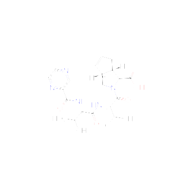 CC(C)[C@H](NC(=O)c1cnccn1)C(=O)N[C@H](C(=O)N1C[C@@H]2C=CC[C@@H]2C1C(=O)O)C(C)C